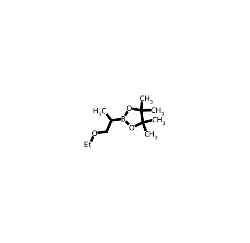 CCOCC(C)B1OC(C)(C)C(C)(C)O1